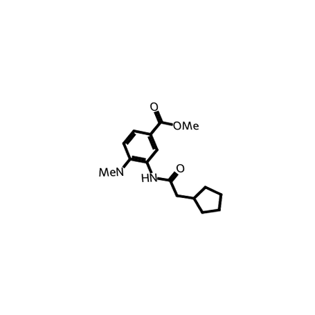 CNc1ccc(C(=O)OC)cc1NC(=O)CC1CCCC1